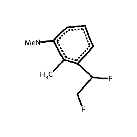 CNc1cccc(C(F)CF)c1C